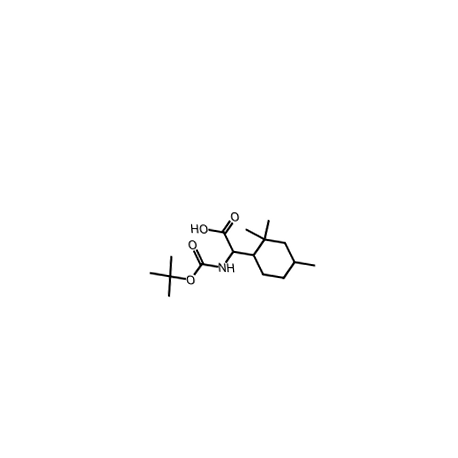 CC1CCC(C(NC(=O)OC(C)(C)C)C(=O)O)C(C)(C)C1